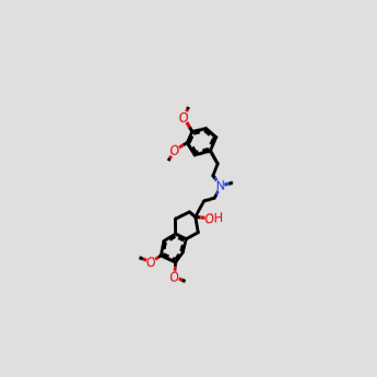 COc1ccc(CCN(C)CCC2(O)CCc3cc(OC)c(OC)cc3C2)cc1OC